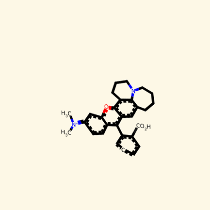 C[N+](C)=c1ccc2c(-c3ccccc3C(=O)O)c3cc4c5c(c3oc-2c1)CCCN5CCCC4